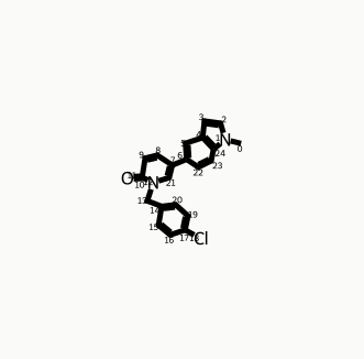 Cn1ccc2cc(-c3ccc(=O)n(Cc4ccc(Cl)cc4)c3)ccc21